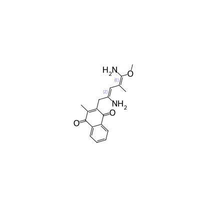 CO/C(N)=C(C)/C=C(\N)CC1=C(C)C(=O)c2ccccc2C1=O